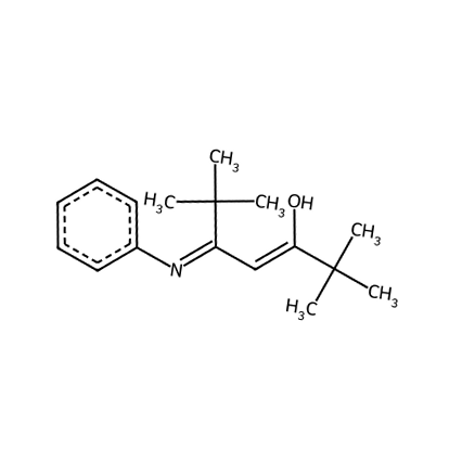 CC(C)(C)/C(O)=C/C(=N/c1ccccc1)C(C)(C)C